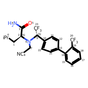 CC(C)C[C@@H](C(N)=O)N(CC#N)[C@@H](c1ccc(-c2ccccc2C(F)(F)F)cc1)C(F)(F)F